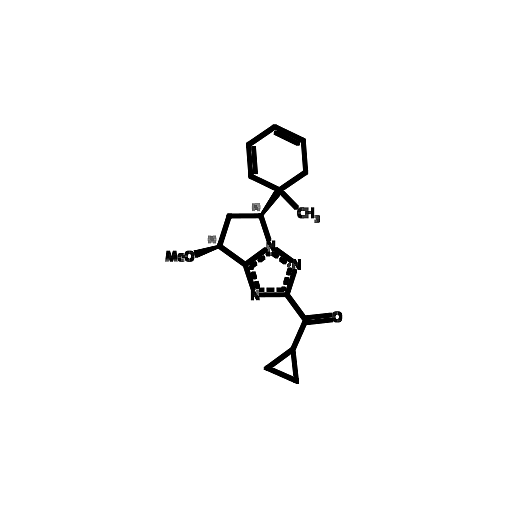 CO[C@H]1C[C@@H](C2(C)C=CC=CC2)n2nc(C(=O)C3CC3)nc21